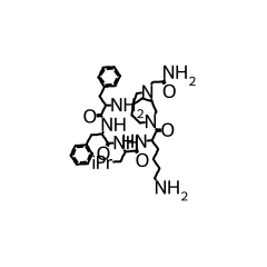 CC(C)CC(NC(=O)C(Cc1ccccc1)NC(=O)C(N)Cc1ccccc1)C(=O)NC(CCCCN)C(=O)N1CCC2CC(C1)N(CC(N)=O)C2